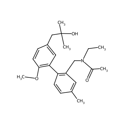 CCN(Cc1cc(C)ccc1-c1cc(CC(C)(C)O)ccc1OC)C(C)=O